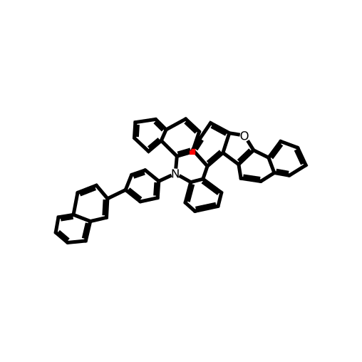 c1ccc(N(c2ccc(-c3ccc4ccccc4c3)cc2)c2cccc3ccccc23)c(-c2cccc3oc4c5ccccc5ccc4c23)c1